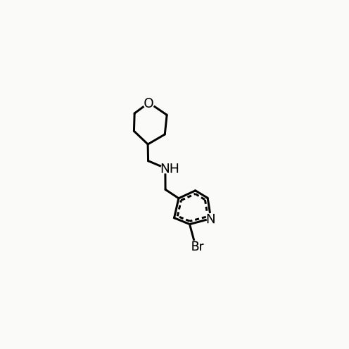 Brc1cc(CNCC2CCOCC2)ccn1